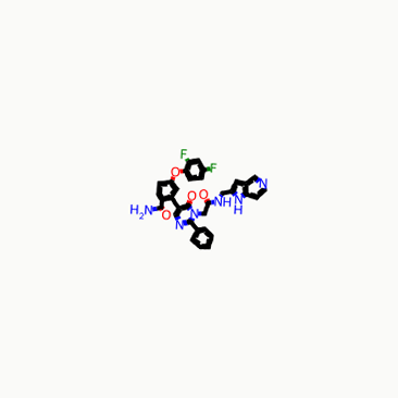 NC(=O)c1ccc(Oc2ccc(F)cc2F)cc1-c1cnc(-c2ccccc2)n(CC(=O)NCc2cc3cnccc3[nH]2)c1=O